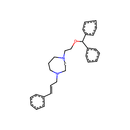 C(=Cc1ccccc1)CN1CCCN(CCOC(c2ccccc2)c2ccccc2)CC1